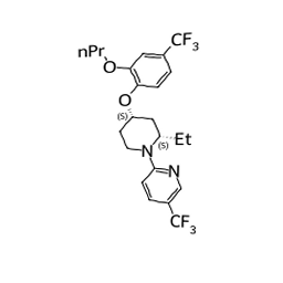 CCCOc1cc(C(F)(F)F)ccc1O[C@H]1CCN(c2ccc(C(F)(F)F)cn2)[C@@H](CC)C1